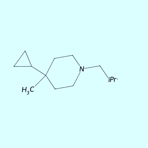 C[C](C)CN1CCC(C)(C2CC2)CC1